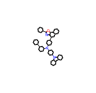 c1ccc(-c2cccc(N(c3ccc(-c4cc5ccccc5c5oc(-c6ccccc6)nc45)cc3)c3ccc(-n4c5ccccc5c5ccccc54)cc3)c2)cc1